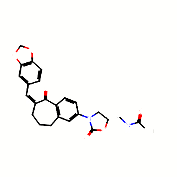 CC(=O)NC[C@H]1CN(c2ccc3c(c2)CCC/C(=C/c2ccc4c(c2)OCO4)C3=O)C(=O)O1